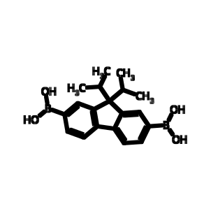 CC(C)C1(C(C)C)c2cc(B(O)O)ccc2-c2ccc(B(O)O)cc21